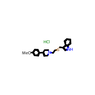 COc1ccc(C2=CCN(CCSCc3c[nH]c4ccccc34)CC2)cc1.Cl